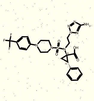 Nc1nnn(CCN([C@]2(C(=O)O)C[C@H]2c2ccccc2)S(=O)(=O)N2CCN(c3ccc(C(F)(F)F)cc3)CC2)n1